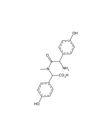 CN(C(=O)C(N)c1ccc(O)cc1)C(C(=O)O)c1ccc(O)cc1